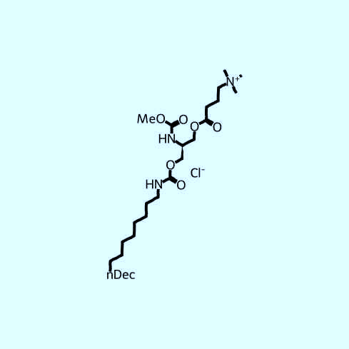 CCCCCCCCCCCCCCCCCCNC(=O)OC[C@H](COC(=O)CCC[N+](C)(C)C)NC(=O)OC.[Cl-]